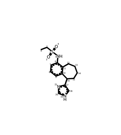 CCS(=O)(=O)Nc1cccc2c1CCCCC2c1c[nH]cn1